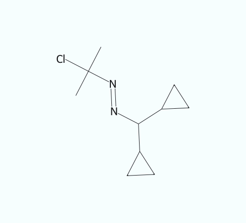 CC(C)(Cl)N=NC(C1CC1)C1CC1